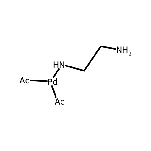 C[C](=O)[Pd]([NH]CCN)[C](C)=O